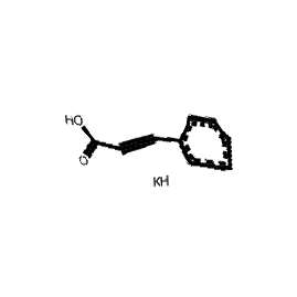 O=C(O)C#Cc1ccccc1.[KH]